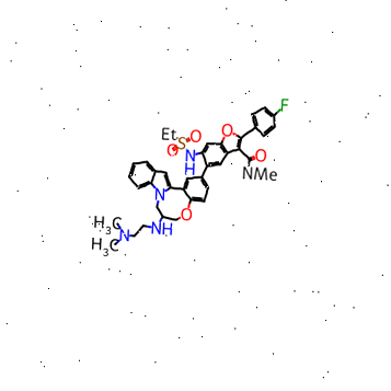 CCS(=O)(=O)Nc1cc2oc(-c3ccc(F)cc3)c(C(=O)NC)c2cc1-c1ccc2c(c1)-c1cc3ccccc3n1CC(NCCN(C)C)CO2